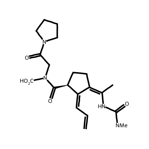 C=C/C=C1\C(=C(\C)NC(=O)NC)CC[C@@H]1C(=O)N(CC(=O)N1CCCC1)C(=O)O